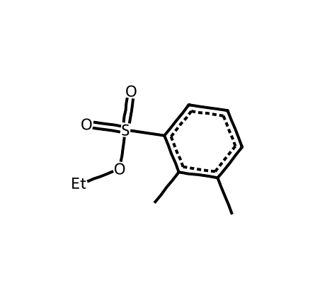 CCOS(=O)(=O)c1cccc(C)c1C